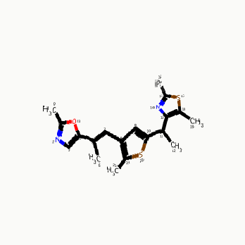 Cc1ncc(C(C)Cc2cc(C(C)c3nc(C(C)C)sc3C)sc2C)o1